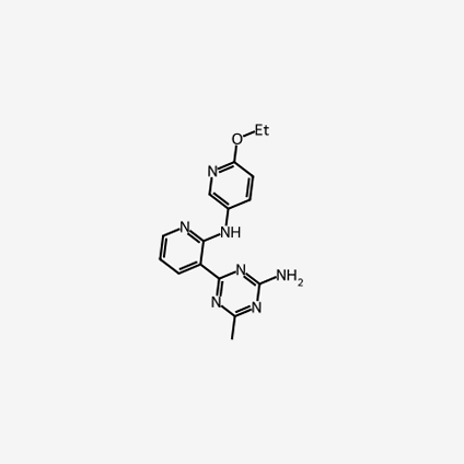 CCOc1ccc(Nc2ncccc2-c2nc(C)nc(N)n2)cn1